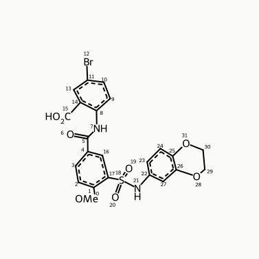 COc1ccc(C(=O)Nc2ccc(Br)cc2C(=O)O)cc1S(=O)(=O)Nc1ccc2c(c1)OCCO2